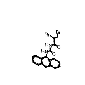 O=C(NC(=O)C(Br)CBr)Nc1c2ccccc2cc2ccccc12